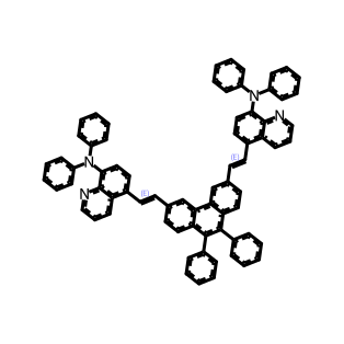 C(=C\c1ccc(N(c2ccccc2)c2ccccc2)c2ncccc12)/c1ccc2c(-c3ccccc3)c(-c3ccccc3)c3ccc(/C=C/c4ccc(N(c5ccccc5)c5ccccc5)c5ncccc45)cc3c2c1